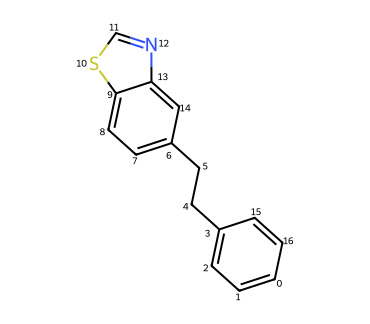 c1ccc(CCc2ccc3scnc3c2)cc1